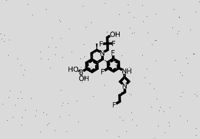 C[C@@H]1Cc2cc(B(O)O)ccc2[C@@H](c2c(F)cc(NC3CN(CCCF)C3)cc2F)N1CC(F)(F)CO